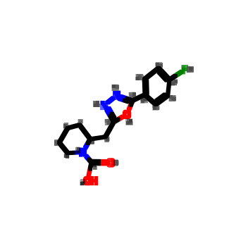 O=C(O)N1CCCCC1Cc1nnc(-c2ccc(F)cc2)o1